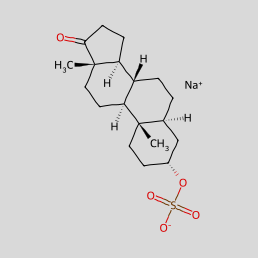 C[C@]12CC[C@@H](OS(=O)(=O)[O-])C[C@@H]1CC[C@@H]1[C@@H]2CC[C@]2(C)C(=O)CC[C@@H]12.[Na+]